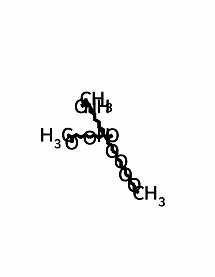 CCOCCOCCOCCOCCC(=O)N(CCCCCCNC(C)=O)CCOCCCC(C)=O